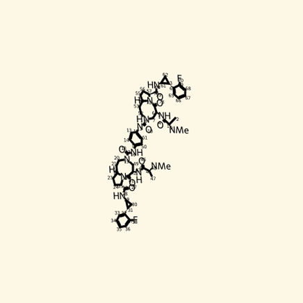 CN[C@@H](C)C(=O)N[C@H]1CN(C(=O)Nc2ccc(NC(=O)N3CC[C@H]4CC[C@@H](C(=O)N[C@H]5C[C@@H]5c5ccccc5F)N4C(=O)[C@H](NC(=O)[C@H](C)NC)C3)cc2)CC[C@H]2CC[C@@H](C(=O)N[C@H]3C[C@@H]3c3ccccc3F)N2C1=O